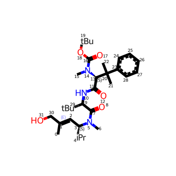 C/C(=C\[C@H](C(C)C)N(C)C(=O)C(NC(=O)[C@@H](N(C)C(=O)OC(C)(C)C)C(C)(C)c1ccccc1)C(C)(C)C)CO